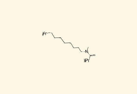 C=C(C(C)C)N(C)CCCCCCCCC(C)C